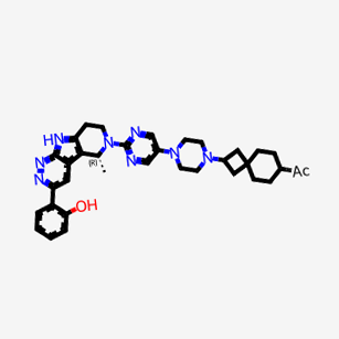 CC(=O)C1CCC2(CC1)CC(N1CCN(c3cnc(N4CCc5[nH]c6nnc(-c7ccccc7O)cc6c5[C@H]4C)nc3)CC1)C2